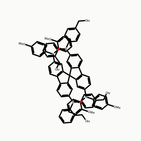 COc1ccc(N(c2ccc3c(c2)C2(c4cc(N(c5ccc(CO)cc5)c5ccccc5CO)ccc4-3)c3cc(N(c4ccc(CO)cc4)c4ccccc4CO)ccc3-c3ccc(N(c4ccc(OC)cc4)c4ccccc4OC)cc32)c2ccccc2OC)cc1